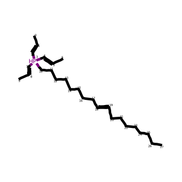 CC=C[PH](C=CC)(C=CC)CCCCCCCCC=CCCCCCCCC